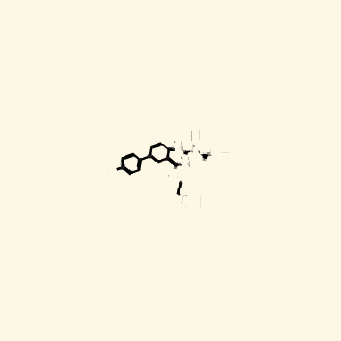 CCCOc1nc(NC(C)=O)nc2ccc(-c3ccc(F)cc3)cc12